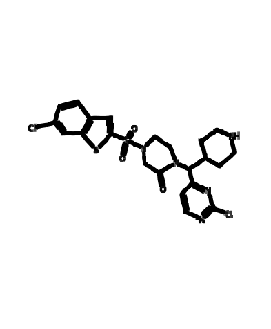 O=C1CN(S(=O)(=O)c2cc3ccc(Cl)cc3s2)CCN1C(c1ccnc(Cl)n1)C1CCNCC1